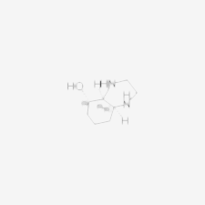 O[C@H]1CCC[C@@H]2NCCN[C@@H]21